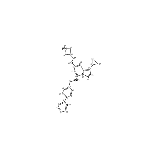 c1ccc(-c2ccc(CNc3cc(OCC4CNC4)nc4c(C5CC5)cnn34)cc2)nc1